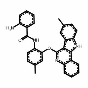 Cc1ccc(NC(=O)c2ccccc2N)c(Oc2nc3ccccc3c3[nH]c4ccc(C)cc4c23)c1